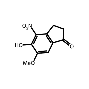 COc1cc2c(c([N+](=O)[O-])c1O)CCC2=O